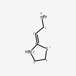 CCCCC=C1N[CH]CS1